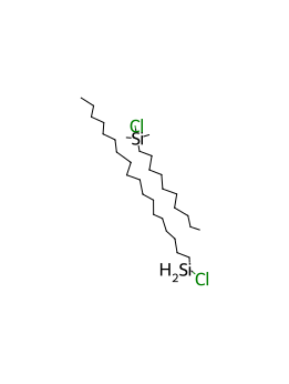 CCCCCCCCCCCCCCCCCC[SiH2]Cl.CCCCCCCCCC[Si](C)(C)Cl